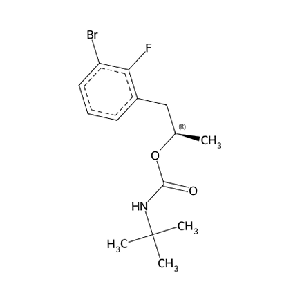 C[C@H](Cc1cccc(Br)c1F)OC(=O)NC(C)(C)C